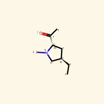 CC[C@@H]1C[C@@H](C(C)=O)N(I)C1